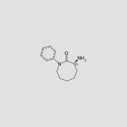 N[C@H]1CCCCCN(c2ccccc2)C1=O